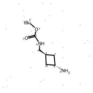 CC(C)(C)OC(=O)NC[C@H]1C[C@H](N)C1